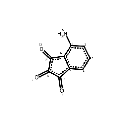 Nc1cccc2c(=O)c(=O)c(=O)c12